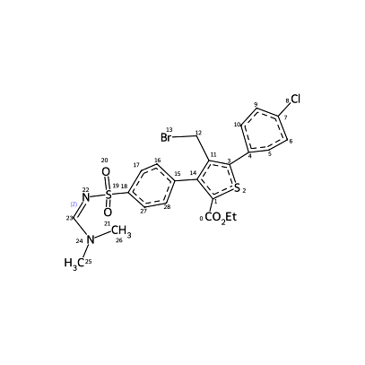 CCOC(=O)c1sc(-c2ccc(Cl)cc2)c(CBr)c1-c1ccc(S(=O)(=O)/N=C\N(C)C)cc1